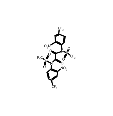 O=C(C(=O)N(c1ccc(C(F)(F)F)cc1[N+](=O)[O-])S(=O)(=O)C(F)(F)F)N(c1ccc(C(F)(F)F)cc1[N+](=O)[O-])S(=O)(=O)C(F)(F)F